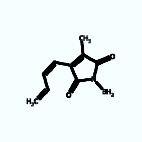 BN1C(=O)C(C)=C(/C=C\C=C)C1=O